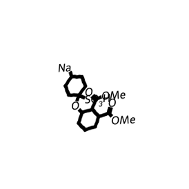 COC(=O)C1CCCC(OC2(S(=O)(=O)O)CC[CH]([Na])CC2)C1C(=O)OC